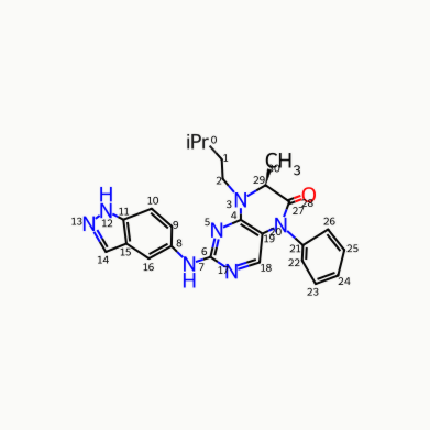 CC(C)CCN1c2nc(Nc3ccc4[nH]ncc4c3)ncc2N(c2ccccc2)C(=O)[C@@H]1C